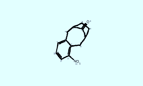 O=C1C2CCC1Cc1c(cccc1[N+](=O)[O-])C2